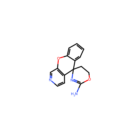 NC1=NC2(CCO1)c1ccccc1Oc1cnccc12